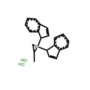 C[CH]1[CH2][Zr]1([CH]1C=Cc2ccccc21)[CH]1C=Cc2ccccc21.Cl.Cl